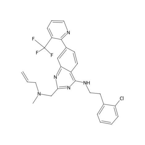 C=CCN(C)Cc1nc(NCCc2ccccc2Cl)c2ccc(-c3ncccc3C(F)(F)F)cc2n1